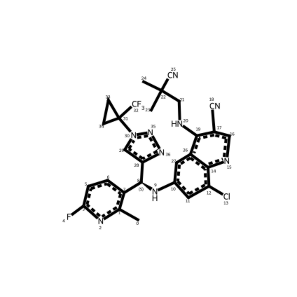 Cc1nc(F)ccc1[C@H](Nc1cc(Cl)c2ncc(C#N)c(NCC(C)(C)C#N)c2c1)c1cn(C2(C(F)(F)F)CC2)nn1